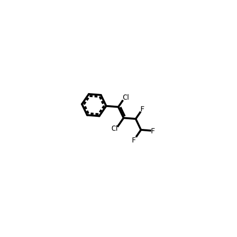 FC(F)C(F)C(Cl)=C(Cl)c1ccccc1